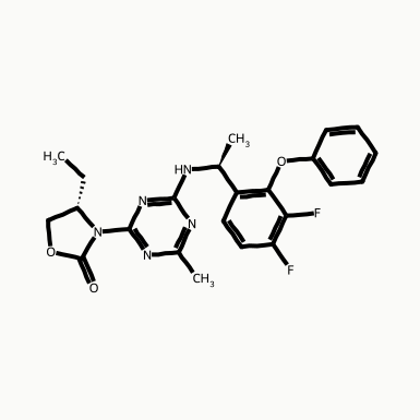 CC[C@H]1COC(=O)N1c1nc(C)nc(N[C@@H](C)c2ccc(F)c(F)c2Oc2ccccc2)n1